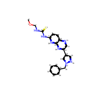 COCNC(=S)Nc1ccc2ncc(-c3cnn(Cc4ccccc4)c3)nc2n1